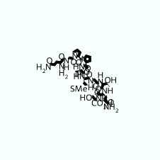 CSCC[C@H](NC(=O)[C@H](CC(C)C)NC(=O)[C@@H]1CCCN1C(=O)[C@@H]1CCCN1C(=O)CNC(=O)[C@@H](N)CCC(N)=O)C(=O)NCC(=O)N[C@H](C(=O)N[C@@H](CCC(N)=O)C(=O)N[C@@H](CO)C(=O)O)[C@@H](C)O